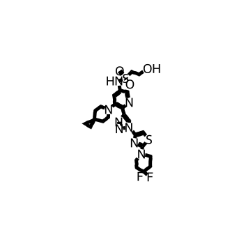 O=S(=O)(CCO)Nc1cnc(-c2cn(-c3csc(N4CCC(F)(F)CC4)n3)nn2)c(N2CCC3(CC2)CC3)c1